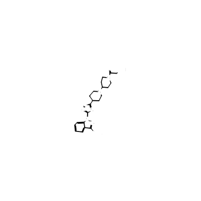 CC(C)(C)c1nn(-c2noc(C3CCN(C4CCN(C(=O)CO)CC4)CC3)n2)c2ccccc12